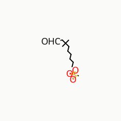 CC(C)(CC=O)CCCCCCOS(C)(=O)=O